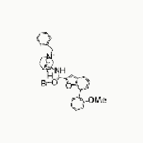 COc1ccccc1-c1cccc2cc(C(=O)N[C@H]3C[N+]4(Cc5ccccc5)CCC3CC4)oc12.[Br-]